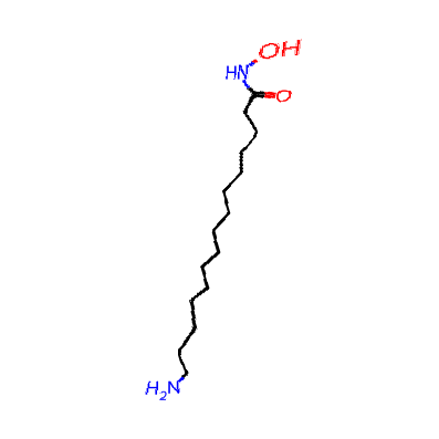 NCCCCCCCCCCCCCCC(=O)NO